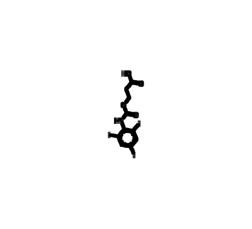 O=C(O)CCOC(=O)Nc1c(I)cc(I)cc1I